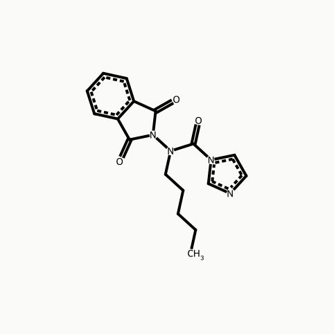 CCCCCN(C(=O)n1ccnc1)N1C(=O)c2ccccc2C1=O